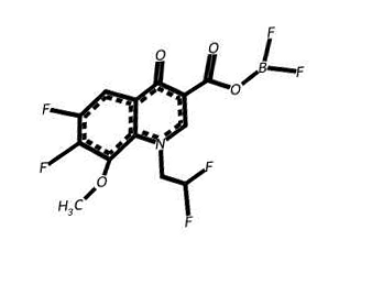 COc1c(F)c(F)cc2c(=O)c(C(=O)OB(F)F)cn(CC(F)F)c12